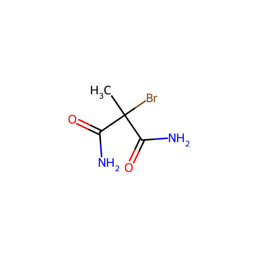 CC(Br)(C(N)=O)C(N)=O